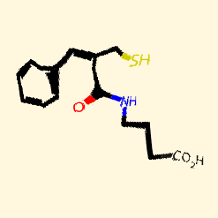 O=C(O)CCCNC(=O)C(=Cc1ccccc1)CS